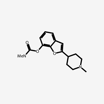 CNC(=O)Oc1cccc2cc(C3CCN(C)CC3)oc12